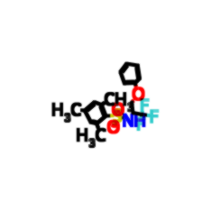 Cc1cc(C)c(S(=O)(=O)NC(COc2ccccc2)C(F)(F)F)c(C)c1